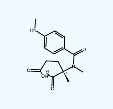 CNc1ccc(C(=O)N(C)[C@@](C)(CCC(=O)O)C(=O)O)cc1